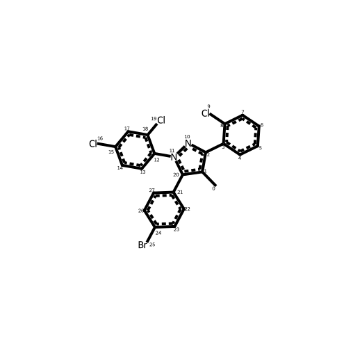 Cc1c(-c2ccccc2Cl)nn(-c2ccc(Cl)cc2Cl)c1-c1ccc(Br)cc1